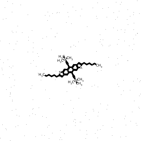 CCCCCCc1cc2cc3c(C#C[Si](C)(C)C)c4cc5sc(CCCCCC)cc5cc4c(C#C[Si](C)(C)C)c3cc2s1